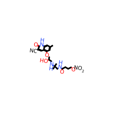 Cc1cc(OCC(O)CNC(C)(C)CNC(=O)CCCO[N+](=O)[O-])c2cc(C#N)c(=O)[nH]c2c1